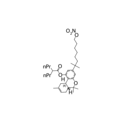 CCCC(CCC)C(=O)Oc1cc(C(C)(C)CCCCCCO[N+](=O)[O-])cc2c1[C@@H]1CC(C)=CC[C@H]1C(C)(C)O2